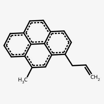 C=CCc1ccc2ccc3cccc4c(C)cc1c2c34